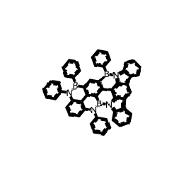 c1ccc(B2c3cc4c5c6c3-c3c(cccc3N(c3ccccc3)B6n3c6ccccc6c6cc7c8ccccc8n(c7c-5c63)B4c3ccccc3)N2c2ccccc2)cc1